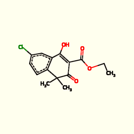 CCOC(=O)C1=C(O)c2cc(Cl)ccc2C(C)(C)C1=O